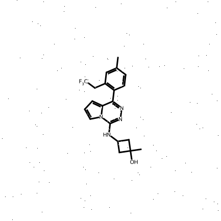 Cc1ccc(-c2nnc(NC3CC(C)(O)C3)n3cccc23)c(CC(F)(F)F)c1